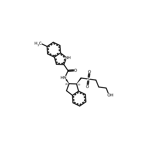 Cc1ccc2[nH]c(C(=O)N[C@@H]3Cc4ccccc4[C@@H]3CS(=O)(=O)CCCO)cc2c1